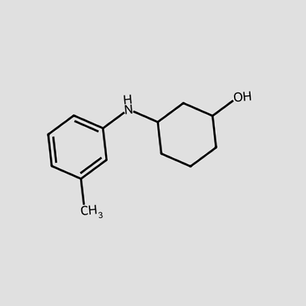 Cc1cccc(NC2CCCC(O)C2)c1